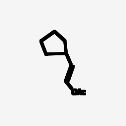 CC(=O)OC=CC1CCCC1